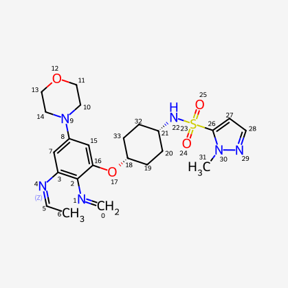 C=Nc1c(/N=C\C)cc(N2CCOCC2)cc1O[C@H]1CC[C@@H](NS(=O)(=O)c2ccnn2C)CC1